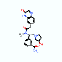 CN(C(=O)Cc1ccc2ncc(=O)[nH]c2c1)[C@H](CN1CCC(O)C1)c1cccc(C(N)=O)c1